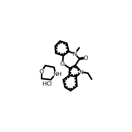 C1COCCN1.CCn1c2c(c3ccccc31)Oc1ccccc1N(C)C2=O.Cl